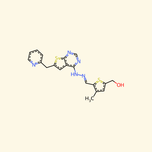 Cc1cc(CO)sc1/C=N/Nc1ncnc2sc(Cc3ccccn3)cc12